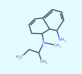 CCC(C)N(C)C1CC=CC2=CC=CC(N)C21